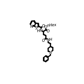 CCCCCCOC(=O)C(CCC(=O)NCCC1CCN(Cc2ccccc2)CC1)NC(=O)c1cc2cccnc2s1